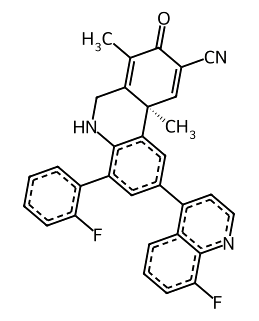 CC1=C2CNc3c(-c4ccccc4F)cc(-c4ccnc5c(F)cccc45)cc3[C@]2(C)C=C(C#N)C1=O